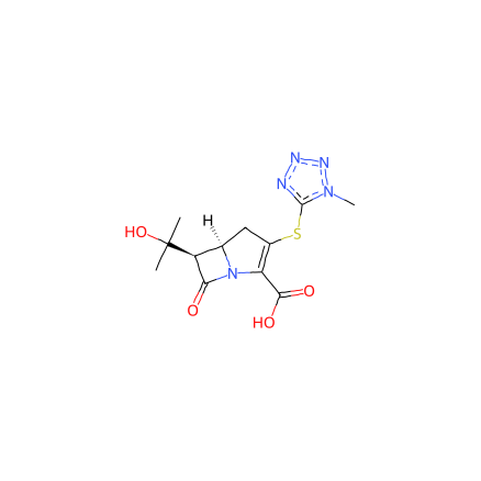 Cn1nnnc1SC1=C(C(=O)O)N2C(=O)[C@@H](C(C)(C)O)[C@H]2C1